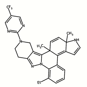 CCc1cccc2c1-n1nc3c(c1C1(C)C=CC4(C)NC=CC4=C21)CN(c1ncc(C(F)(F)F)cn1)CC3